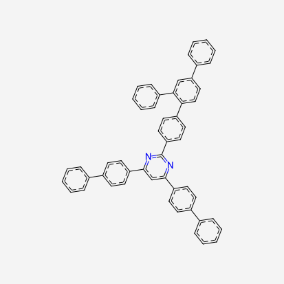 c1ccc(-c2ccc(-c3cc(-c4ccc(-c5ccccc5)cc4)nc(-c4ccc(-c5ccc(-c6ccccc6)cc5-c5ccccc5)cc4)n3)cc2)cc1